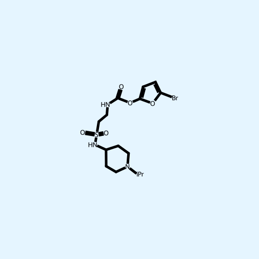 CC(C)N1CCC(NS(=O)(=O)CCNC(=O)Oc2ccc(Br)o2)CC1